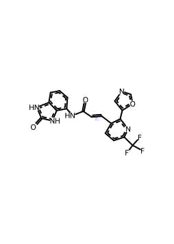 O=C(/C=C/c1ccc(C(F)(F)F)nc1-c1cnco1)Nc1cccc2[nH]c(=O)[nH]c12